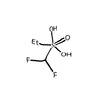 CCS(=O)(O)(O)C(F)F